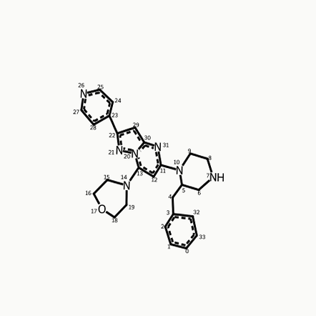 c1ccc(CC2CNCCN2c2cc(N3CCOCC3)n3nc(-c4ccncc4)cc3n2)cc1